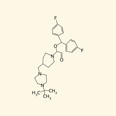 CC(C)(C)N1CCN(CC2CCN(C(C=O)OC(c3ccc(F)cc3)c3ccc(F)cc3)CC2)CC1